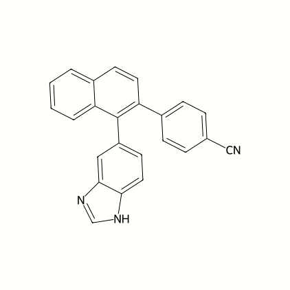 N#Cc1ccc(-c2ccc3ccccc3c2-c2ccc3[nH]cnc3c2)cc1